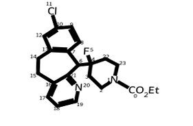 CCOC(=O)N1CCC(F)(C2c3ccc(Cl)cc3CCc3cccnc32)CC1